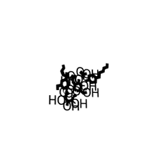 CC/C=C\C(C)(I)C1CC(CC)[C@@H](O[C@@H]2OC(C)[C@@H](O)C(O)C2O)[C@H](O[C@@H]2OC(CO)[C@H](O)C(O[C@@H](CC3CCC(CCCCCC)CC3)C(=O)O)C2NC(C)=O)C1